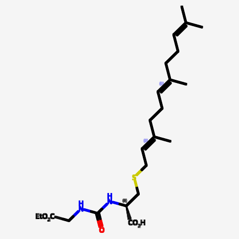 CCOC(=O)CNC(=O)N[C@@H](CSC/C=C(\C)CC/C=C(\C)CCC=C(C)C)C(=O)O